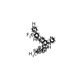 CC(F)(F)CS(=O)(=O)c1ocnc1Cn1c(=O)c(Nc2cccnc2)cc2cnc(Nc3ccc(N4CCNCC4)c(C(F)(F)F)c3)nc21